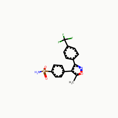 Cc1onc(-c2ccc(C(F)(F)F)cc2)c1-c1ccc(S(N)(=O)=O)cc1